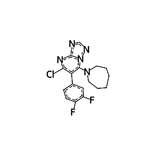 Fc1ccc(-c2c(Cl)nc3ncnn3c2N2CCCCCC2)cc1F